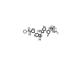 CS(=O)(=O)C(N)c1cc(F)cc(-c2cncc3[nH]c(-c4n[nH]c5cnc(-c6cncc(NC(=O)C7CCCCC7)c6)cc45)cc23)c1